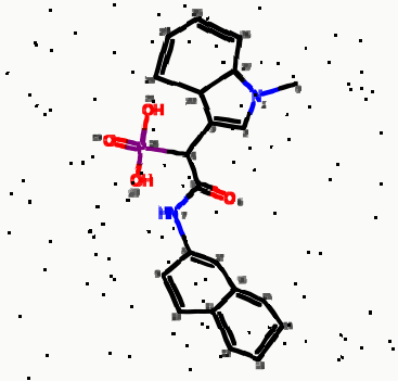 CN1C=C(C(C(=O)Nc2ccc3ccccc3c2)P(=O)(O)O)C2C=CC=CC21